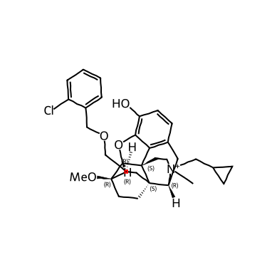 CO[C@]12CC[C@@]3(C[C@@H]1COCc1ccccc1Cl)[C@H]1Cc4ccc(O)c5c4[C@@]3(CC[N+]1(C)CC1CC1)[C@H]2O5